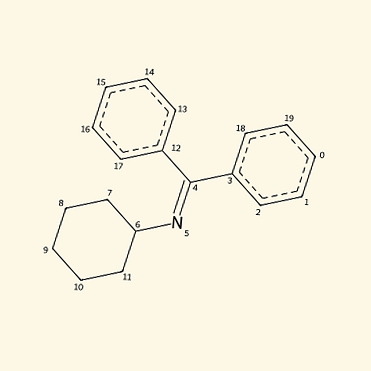 c1ccc(C(=NC2CCCCC2)c2ccccc2)cc1